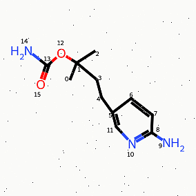 CC(C)(CCc1ccc(N)nc1)OC(N)=O